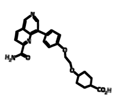 NC(=O)c1ccc2cncc(-c3ccc(OCCOC4CCC(C(=O)O)CC4)cc3)c2n1